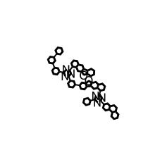 c1ccc(-c2cccc(-c3cccc(-c4nc(-c5cccc(-c6ccc7c(c6)oc6cc8cccc(-c9nc(-c%10ccccc%10)nc(-c%10ccc%11c(ccc%12ccccc%12%11)c%10)n9)c8cc67)c5)nc(-c5cccc6cc7c(cc56)oc5ccccc57)n4)c3)c2)cc1